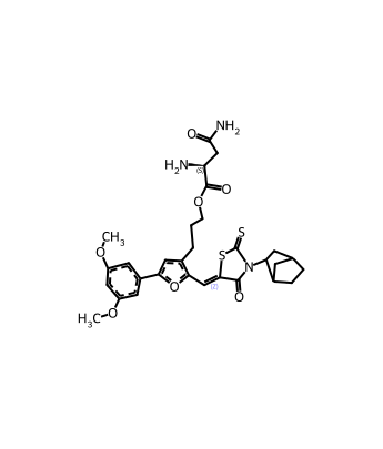 COc1cc(OC)cc(-c2cc(CCCOC(=O)[C@@H](N)CC(N)=O)c(/C=C3\SC(=S)N(C4CC5CCC4C5)C3=O)o2)c1